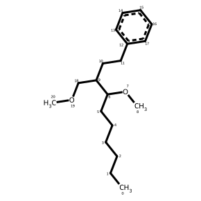 CCCCCCC(OC)C(CCc1ccccc1)COC